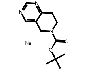 CC(C)(C)OC(=O)N1CCc2ncncc2C1.[Na]